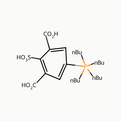 CCCCP(CCCC)(CCCC)(CCCC)c1cc(C(=O)O)c(S(=O)(=O)O)c(C(=O)O)c1